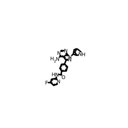 Nc1ncnc2c1c(-c1ccc(C(=O)Nc3cc(F)ccn3)cc1)nn2C1CC2CNC1C2